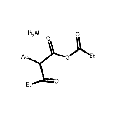 CCC(=O)OC(=O)C(C(C)=O)C(=O)CC.[AlH3]